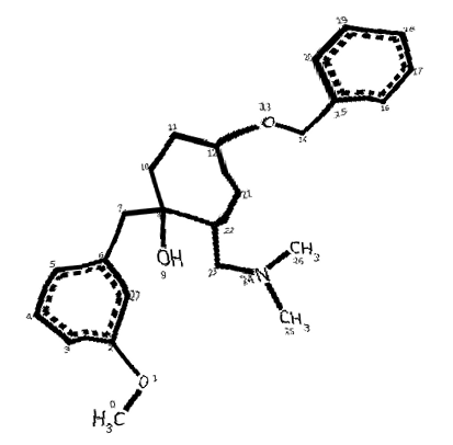 COc1cccc(CC2(O)CCC(OCc3ccccc3)CC2CN(C)C)c1